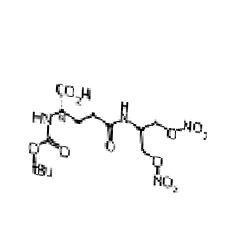 CC(C)(C)OC(=O)N[C@@H](CCC(=O)NC(CO[N+](=O)[O-])CO[N+](=O)[O-])C(=O)O